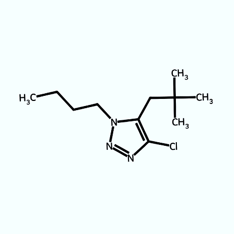 CCCCn1nnc(Cl)c1CC(C)(C)C